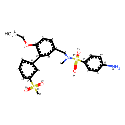 CN(Cc1ccc(OCC(=O)O)c(-c2cccc(S(C)(=O)=O)c2)c1)S(=O)(=O)c1ccc(N)cc1